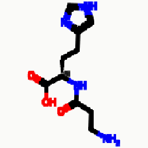 NCCC(=O)N[C@@H](CCc1c[nH]cn1)C(=O)O